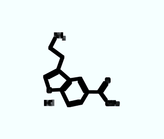 COC(=O)c1ccc2occ(CCN)c2c1.Cl